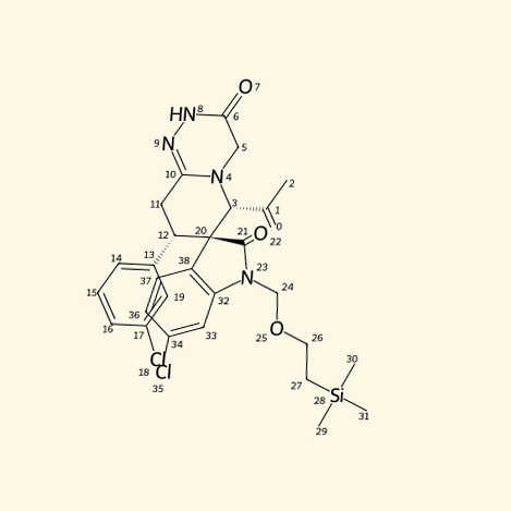 C=C(C)[C@H]1N2CC(=O)NN=C2C[C@@H](c2cccc(Cl)c2)[C@]12C(=O)N(COCC[Si](C)(C)C)c1cc(Cl)ccc12